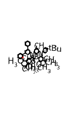 Cc1cc2c3c(c1)N(c1cc(-c4ccccc4)cc(-c4ccccc4)c1)c1c(sc4cc5c(cc14)C(C)(C)CCC5(C)C)B3c1cc3c(cc1N2c1ccc(C(C)(C)C)cc1)C(C)(C)CCC3(C)C